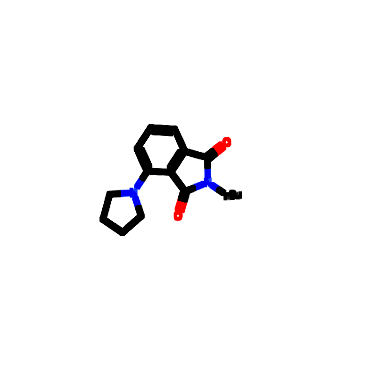 CCCCN1C(=O)c2cccc(N3CCCC3)c2C1=O